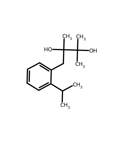 CC(C)c1ccccc1CC(C)(O)C(C)(C)O